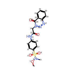 CON(C)S(=O)(=O)c1ccc(NC(=O)Cn2nnc3ccccc3c2=O)cc1